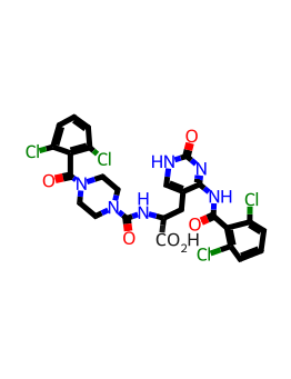 O=C(Nc1nc(=O)[nH]cc1CC(NC(=O)N1CCN(C(=O)c2c(Cl)cccc2Cl)CC1)C(=O)O)c1c(Cl)cccc1Cl